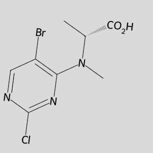 C[C@H](C(=O)O)N(C)c1nc(Cl)ncc1Br